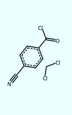 ClCCl.N#Cc1ccc(C(=O)Cl)cc1